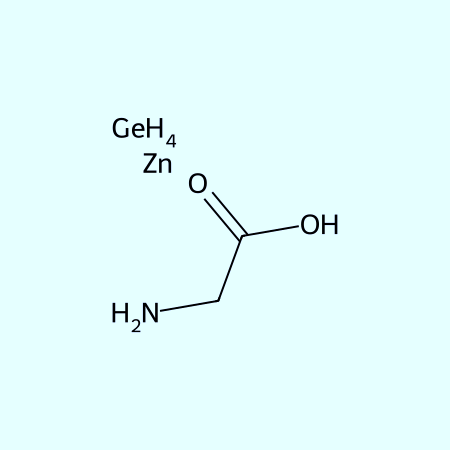 NCC(=O)O.[GeH4].[Zn]